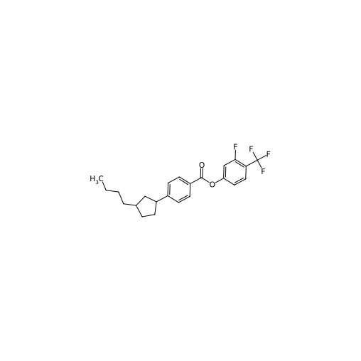 CCCCC1CCC(c2ccc(C(=O)Oc3ccc(C(F)(F)F)c(F)c3)cc2)C1